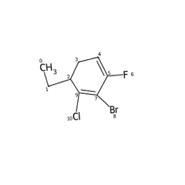 CCC1CC=C(F)C(Br)=C1Cl